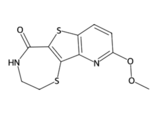 COOc1ccc2sc3c(c2n1)SCCNC3=O